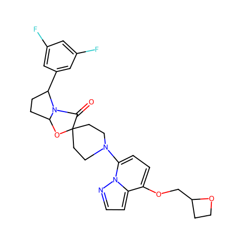 O=C1N2C(CCC2c2cc(F)cc(F)c2)OC12CCN(c1ccc(OCC3CCO3)c3ccnn13)CC2